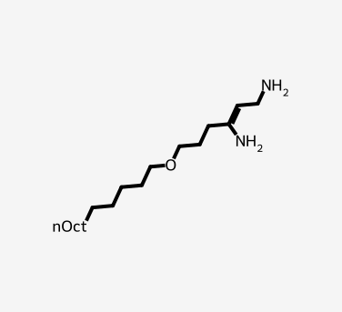 CCCCCCCCCCCCCOCCCC(N)=CCN